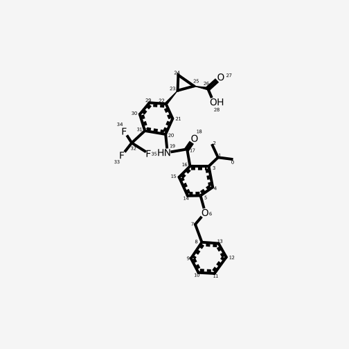 CC(C)c1cc(OCc2ccccc2)ccc1C(=O)Nc1cc([C@H]2C[C@H]2C(=O)O)ccc1C(F)(F)F